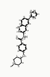 CN1CCC(Oc2ccc(C(=O)Nc3cc4cc(-c5nncs5)ccc4nn3)cc2)CC1